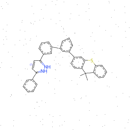 CC1(C)c2ccccc2Sc2cc(-c3cccc(-c4cccc(C(=N)/C=C\C(=N)c5ccccc5)c4)c3)ccc21